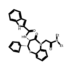 CCN(CC)C(=O)CN1C(=O)[C@@H](NC(=O)c2cc3ccccc3[nH]2)[C@@H](c2ccccc2)Sc2ccccc21